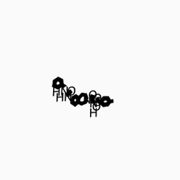 Cc1ccc(S(=O)(=O)NC(=O)N2CCc3ccc(NC(=O)NCc4ccccc4)cc3CC2)cc1